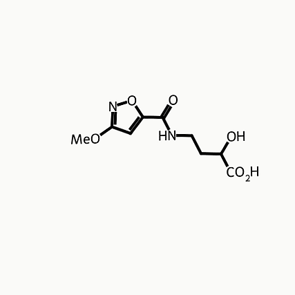 COc1cc(C(=O)NCCC(O)C(=O)O)on1